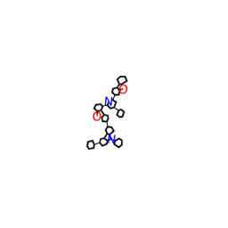 c1ccc(-c2cc(-c3ccc4c(c3)oc3ccccc34)nc(-c3cccc4oc5cc(-c6ccc7c(c6)c6cc(-c8ccccc8)ccc6n7-c6ccccc6)ccc5c34)c2)cc1